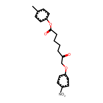 Cc1ccc(OC(=O)CCCCC(=O)COc2ccc([N+](=O)[O-])cc2)cc1